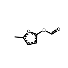 Cc1ccc(OC=O)o1